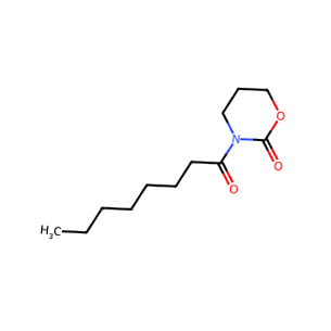 CCCCCCCC(=O)N1CCCOC1=O